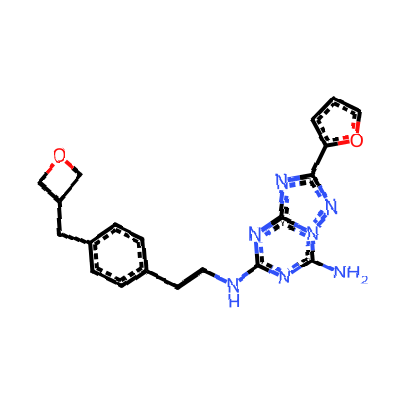 Nc1nc(NCCc2ccc(CC3COC3)cc2)nc2nc(-c3ccco3)nn12